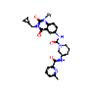 Cc1cccc(C(=O)NC2CCCN(C(=O)Nc3ccc4c(c3)c(=O)n(CC3CC3)c(=O)n4C(C)C)C2)n1